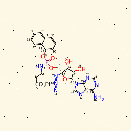 CCOC(=O)CCN[P@](=O)(OC[C@@]1(N=[N+]=[N-])O[C@@H](n2cnc3c(N)ncnc32)[C@H](O)[C@@H]1O)Oc1cccc2ccccc12